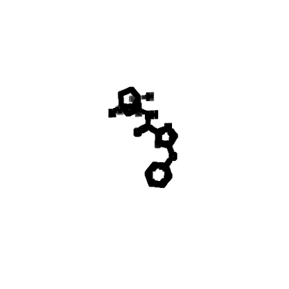 O=C(N[C@@H]1C[C@H]2CC[C@@H]1N2)c1ncc(Oc2ccccc2)s1